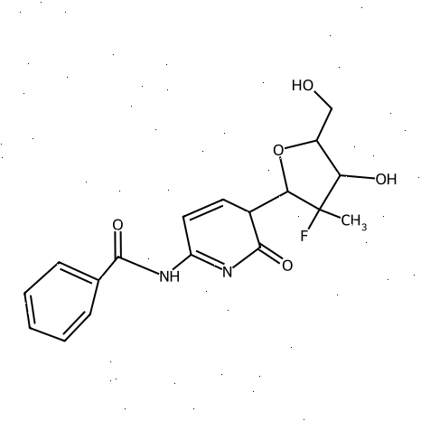 CC1(F)C(O)C(CO)OC1C1C=CC(NC(=O)c2ccccc2)=NC1=O